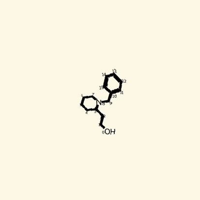 OCCC1CCCCN1Cc1ccccc1